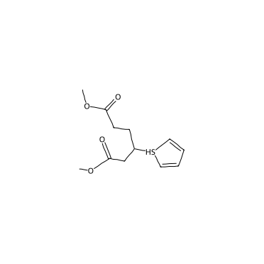 COC(=O)CCC(CC(=O)OC)[SH]1C=CC=C1